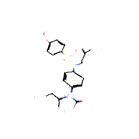 CCC(C)N(C(=O)O)c1ccc(N(CC(C)C)S(=O)(=O)c2ccc(OC)cc2)cc1